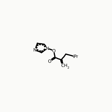 C=C(CC(C)C)C(=O)On1ccnc1